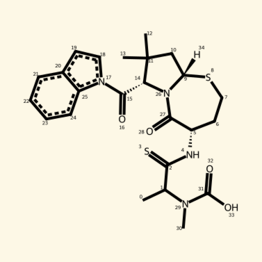 CC(C(=S)N[C@H]1CCS[C@H]2CC(C)(C)[C@@H](C(=O)n3ccc4ccccc43)N2C1=O)N(C)C(=O)O